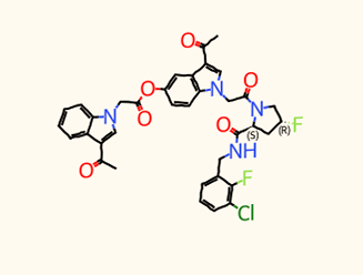 CC(=O)c1cn(CC(=O)Oc2ccc3c(c2)c(C(C)=O)cn3CC(=O)N2C[C@H](F)C[C@H]2C(=O)NCc2cccc(Cl)c2F)c2ccccc12